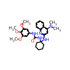 COc1cc(NC(=O)NC2(Nc3cc(N(C)C)c4ccccc4n3)CCCCC2)cc(OC)c1OC